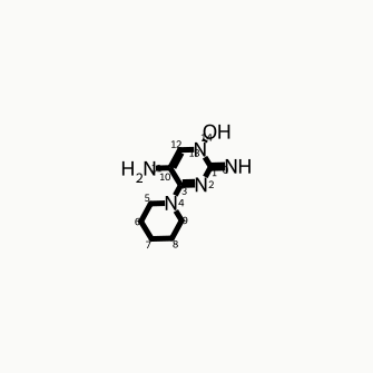 N=c1nc(N2CCCCC2)c(N)cn1O